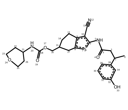 CC(CC(=O)Nc1sc2c(c1C#N)CCC(COC(=O)NC1CCOCC1)C2)c1cccc(O)c1